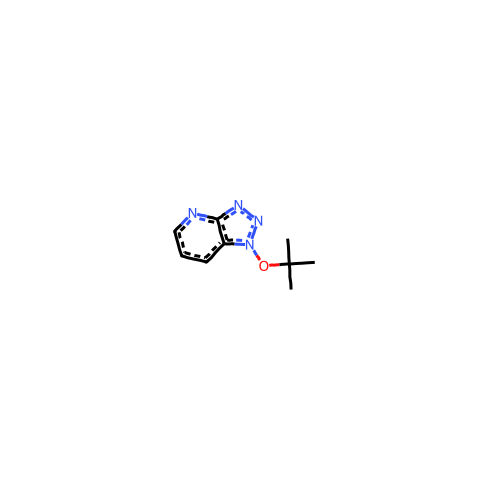 CC(C)(C)On1nnc2ncccc21